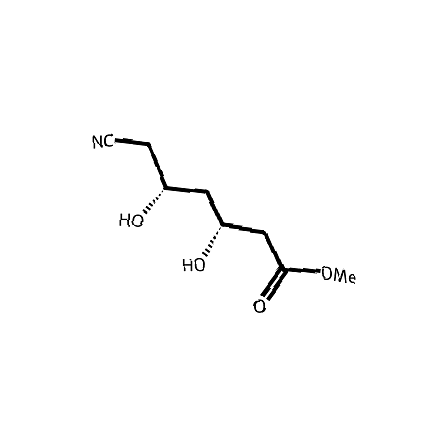 COC(=O)C[C@H](O)C[C@H](O)CC#N